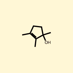 CC1=C(C)C(C)(O)CC1